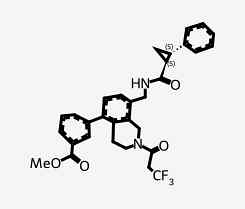 COC(=O)c1cccc(-c2ccc(CNC(=O)[C@H]3C[C@@H]3c3ccccc3)c3c2CCN(C(=O)CC(F)(F)F)C3)c1